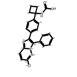 O=C(O)NC1(c2ccc(-c3nc4ccc(Cl)nn4c3-c3ccccc3)cc2)CCC1